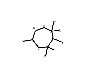 CC1CC(C)(C)N(C)C(C)(C)CO1